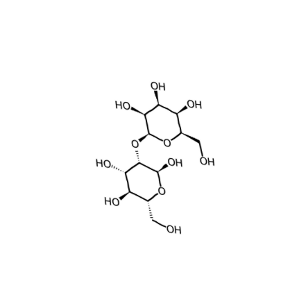 OC[C@H]1O[C@@H](O[C@H]2[C@@H](O)[C@H](O)[C@@H](CO)O[C@@H]2O)[C@@H](O)[C@@H](O)[C@H]1O